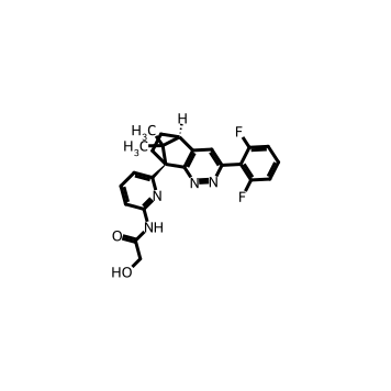 CC1(C)[C@H]2CC[C@@]1(c1cccc(NC(=O)CO)n1)c1nnc(-c3c(F)cccc3F)cc12